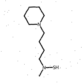 CN(S)CCCCN1CCCCC1